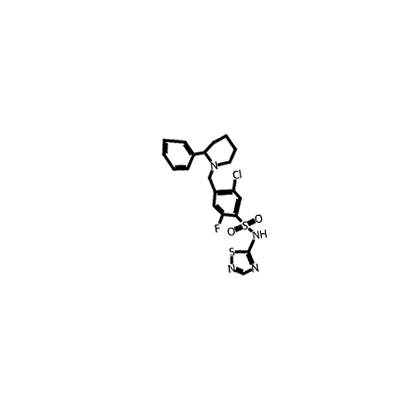 O=S(=O)(Nc1ncns1)c1cc(Cl)c(CN2CCCCC2c2ccccc2)cc1F